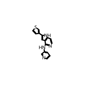 c1cncc(Nc2nccc3[nH]c(-c4ccsc4)cc23)c1